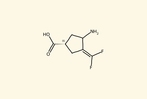 NC1C[C@@H](C(=O)O)CC1=C(F)F